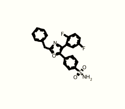 NS(=O)(=O)c1ccc(-c2oc(Cc3ccccc3)nc2-c2cc(F)ccc2F)cc1